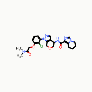 CN(C)C(=O)COc1cccc(-n2ncc3c2COCC3NC(=O)c2ncn3c2CCCC3)c1Cl